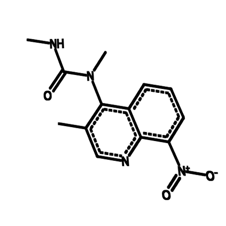 CNC(=O)N(C)c1c(C)cnc2c([N+](=O)[O-])cccc12